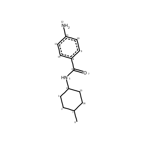 CC1CCC(NC(=O)c2ccc(N)cc2)CC1